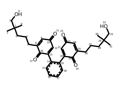 CC(C)(CO)CCCC1=CC(=O)C=C(c2ccccc2C2=CC(=O)C=C(CCCC(C)(C)CO)C2=O)C1=O